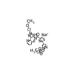 CCO[C@H]1C[C@@H](n2cc(NC(=O)c3csc(-c4cnn(OP(=O)([O-])OC)c4)n3)c(-c3ncccc3F)n2)C1.[Na+]